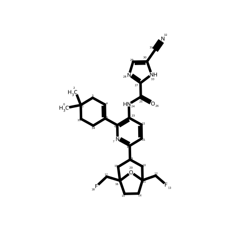 CC1(C)CC=C(c2nc(C3CC4(CF)CCC(CF)(C3)O4)ccc2NC(=O)c2ncc(C#N)[nH]2)CC1